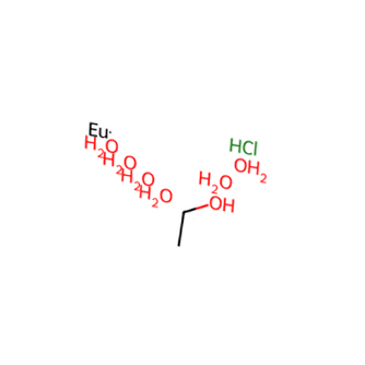 CCO.Cl.O.O.O.O.O.O.[Eu]